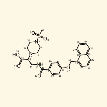 CS(=O)(=O)N1CCN([C@@H](CNC(=O)c2ccc(OCc3cccc4ccccc34)cc2)C(=O)O)CC1